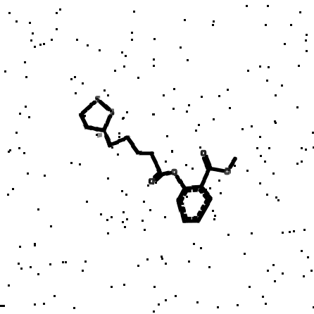 COC(=O)c1ccccc1OC(=O)CCCC[C@H]1CCSS1